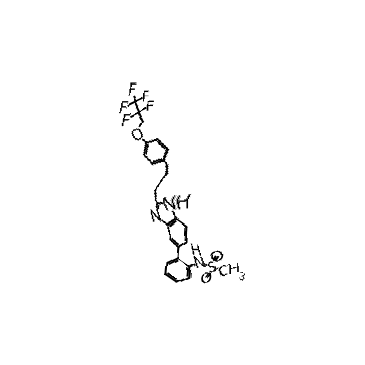 CS(=O)(=O)Nc1ccccc1-c1ccc2[nH]c(CCc3ccc(OCC(F)(F)C(F)(F)F)cc3)nc2c1